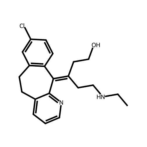 CCNCC/C(CCO)=C1/c2ccc(Cl)cc2CCc2cccnc21